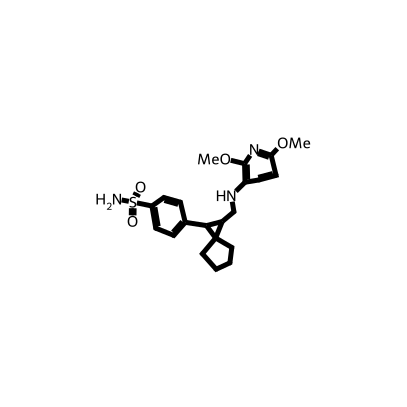 COc1ccc(NCC2C(c3ccc(S(N)(=O)=O)cc3)C23CCCC3)c(OC)n1